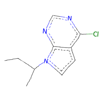 CCC(C)n1ccc2c(Cl)ncnc21